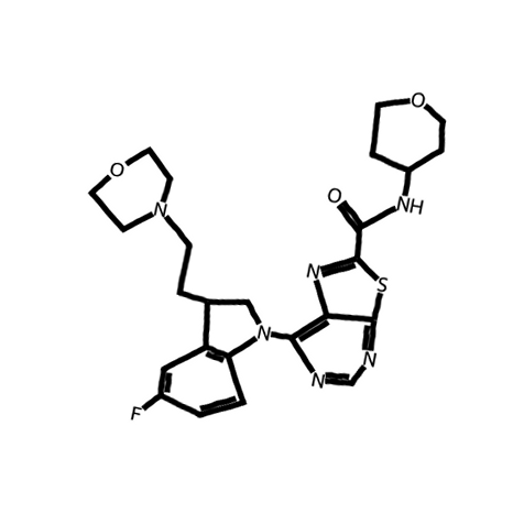 O=C(NC1CCOCC1)c1nc2c(N3CC(CCN4CCOCC4)c4cc(F)ccc43)ncnc2s1